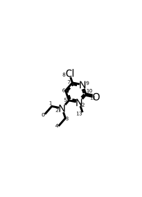 CCN(CC)c1cc(Cl)nc(=O)n1C